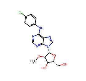 COC1C(O)[C@@H](CO)O[C@H]1n1cnc2c(Nc3ccc(Cl)cc3)ncnc21